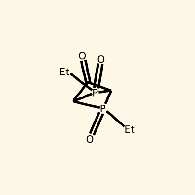 CCP1(=O)C2C(=O)C1P2(=O)CC